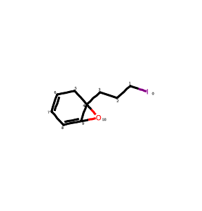 ICCCC12CC=CC=C1O2